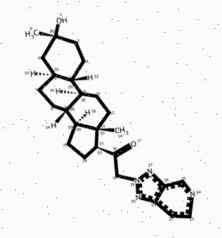 C[C@@]1(O)CC[C@H]2[C@@H](CC[C@@H]3[C@@H]2CC[C@]2(C)[C@@H](C(=O)Cn4nc5ccncc5n4)CC[C@@H]32)C1